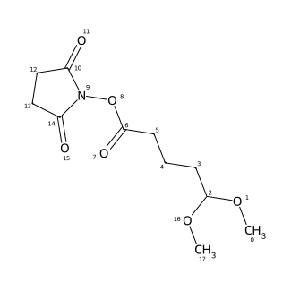 COC(CCCC(=O)ON1C(=O)CCC1=O)OC